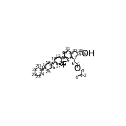 C=C(C)COCCCc1cc(-c2ccc(C3CCC(C4CCCCC4)CC3)cc2F)ccc1CCCO